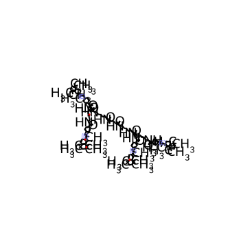 C/C(=C\c1ccc(C(=O)NCCCCC(NC(=O)c2ccc(/C=C(\C)c3ccc4c(c3)C(C)(C)CCC4(C)C)cc2)C(=O)NCCCCCNC(=O)CCCC(=O)NCCCCCNC(=O)[C@H](CCCCNC(=O)c2ccc(/C=C(\C)c3ccc4c(c3)C(C)(C)CCC4(C)C)cc2)NC(=O)c2ccc(/C=C(\C)c3ccc4c(c3)C(C)(C)CCC4(C)C)cc2)cc1)c1ccc2c(c1)C(C)(C)CCC2(C)C